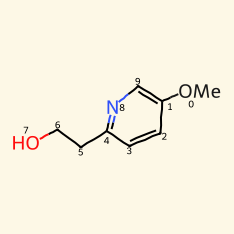 COc1ccc(CCO)nc1